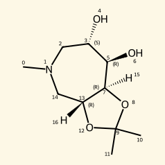 CN1C[C@H](O)[C@@H](O)[C@H]2OC(C)(C)O[C@@H]2C1